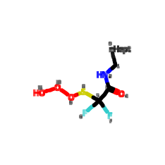 CCCCCCCCNC(=O)C(F)(F)SOOO